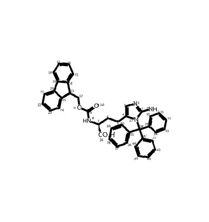 Nc1ncc(CC[C@H](NC(=O)OCC2c3ccccc3-c3ccccc32)C(=O)O)n1C(c1ccccc1)(c1ccccc1)c1ccccc1